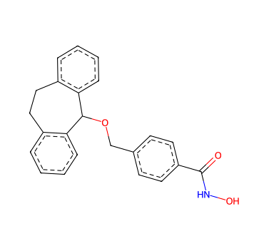 O=C(NO)c1ccc(COC2c3ccccc3CCc3ccccc32)cc1